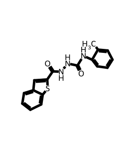 Cc1ccccc1NC(=O)NNC(=O)c1cc2ccccc2s1